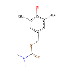 CN(C)C(=S)SCc1cc(C(C)(C)C)c(O)c(C(C)(C)C)c1